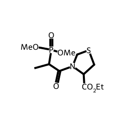 CCOC(=O)C1CSCN1C(=O)C(C)P(=O)(OC)OC